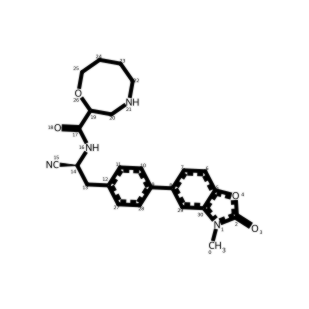 Cn1c(=O)oc2ccc(-c3ccc(C[C@@H](C#N)NC(=O)C4CNCCCCO4)cc3)cc21